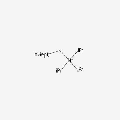 CCCCCCCC[N+](C(C)C)(C(C)C)C(C)C